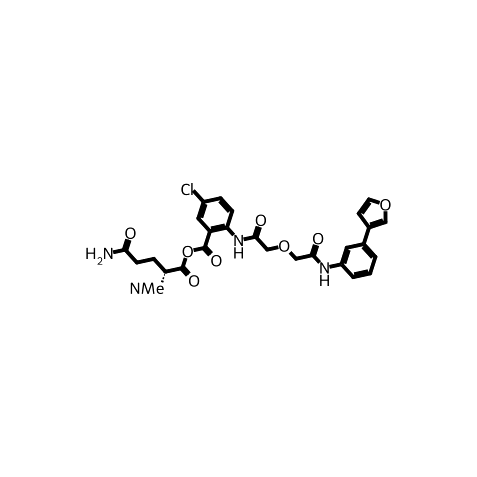 CN[C@H](CCC(N)=O)C(=O)OC(=O)c1cc(Cl)ccc1NC(=O)COCC(=O)Nc1cccc(-c2ccoc2)c1